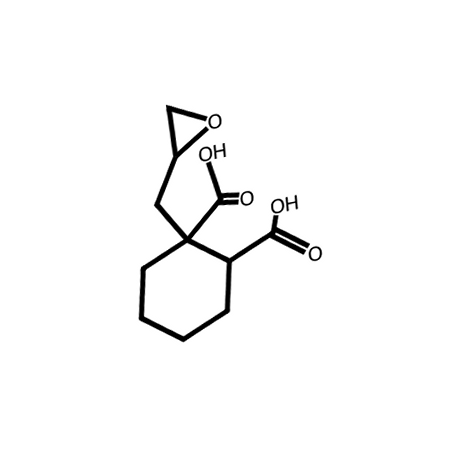 O=C(O)C1CCCCC1(CC1CO1)C(=O)O